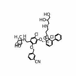 CC(CO)(CO)NCc1cc(Cl)c(OC[C@@]2(OCCCNCC(O)CO)C=CC=C(c3ccccc3)C2(Cl)Cl)cc1OCc1cccc(C#N)c1